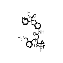 NCc1ccccc1CN(CC(=O)Nc1ccc2c(c1)C[C@@]1(C2)C(=O)Nc2ncccc21)C(=O)C1(C(F)(F)F)CC1